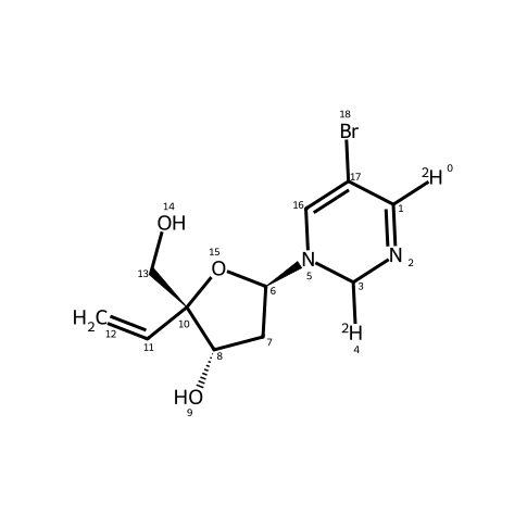 [2H]C1=NC([2H])N([C@H]2C[C@H](O)[C@@](C=C)(CO)O2)C=C1Br